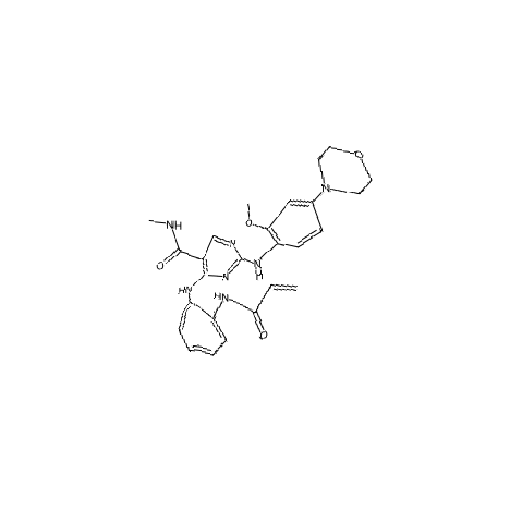 C=CC(=O)Nc1ccccc1Nc1nc(Nc2ccc(N3CCOCC3)cc2OC)ncc1C(=O)NC